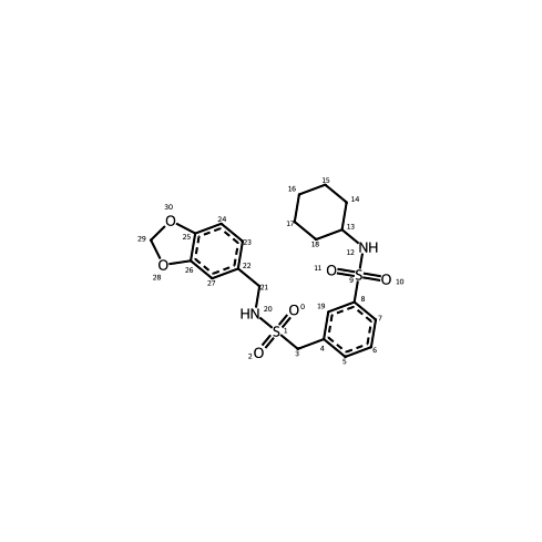 O=S(=O)(Cc1cccc(S(=O)(=O)NC2CCCCC2)c1)NCc1ccc2c(c1)OCO2